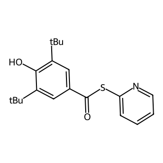 CC(C)(C)c1cc(C(=O)Sc2ccccn2)cc(C(C)(C)C)c1O